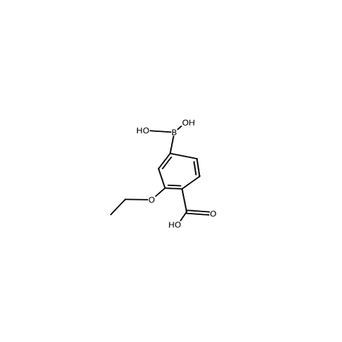 CCOc1cc(B(O)O)ccc1C(=O)O